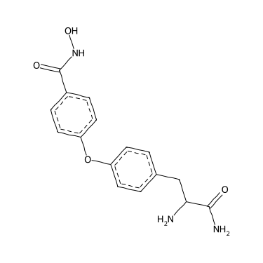 NC(=O)C(N)Cc1ccc(Oc2ccc(C(=O)NO)cc2)cc1